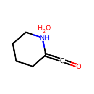 O.O=C=C1CCCCN1